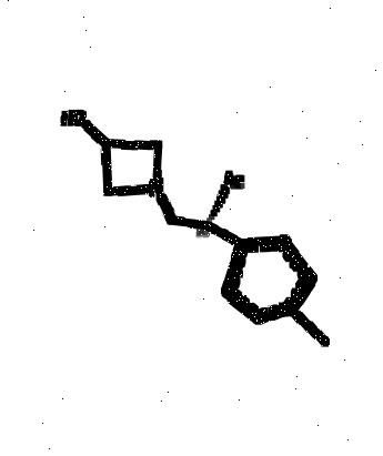 CC(=O)[C@@H](CN1CC(O)C1)c1ccc(C)cc1